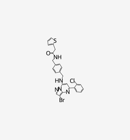 O=C(Cc1cccs1)NCc1ccc(CNc2cc(-c3ccccc3Cl)nc3c(Br)cnn23)cc1